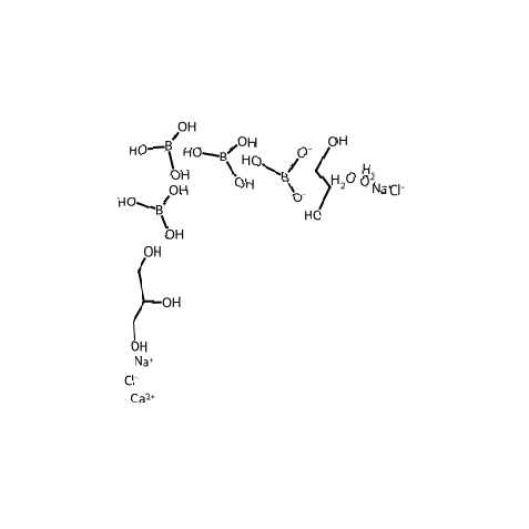 O.O.OB(O)O.OB(O)O.OB(O)O.OCC(O)CO.OCCO.[Ca+2].[Cl-].[Cl-].[Na+].[Na+].[O-]B([O-])O